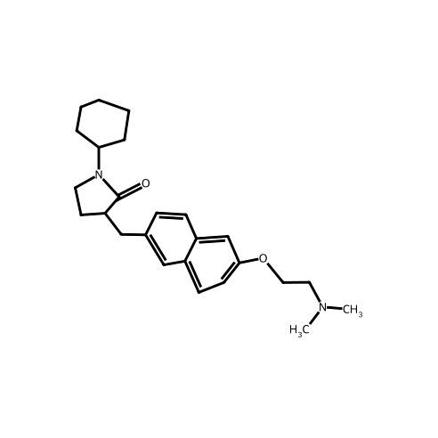 CN(C)CCOc1ccc2cc(CC3CCN(C4CCCCC4)C3=O)ccc2c1